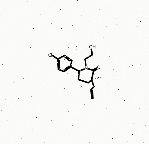 C=CC[C@@]1(C)CCC(c2ccc(Cl)cc2)N(CCO)C1=O